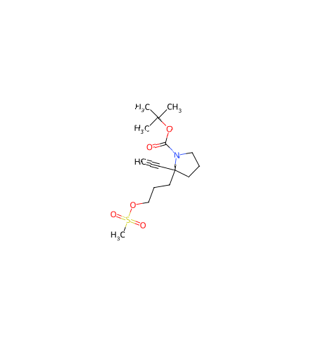 C#CC1(CCCOS(C)(=O)=O)CCCN1C(=O)OC(C)(C)C